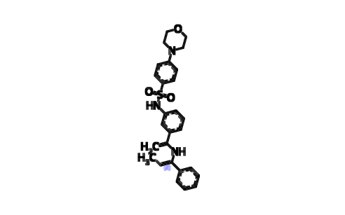 C=C(N/C(=C\C)c1ccccc1)c1cccc(NS(=O)(=O)c2ccc(N3CCOCC3)cc2)c1